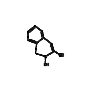 OC1=Cc2ccccc2CN1O